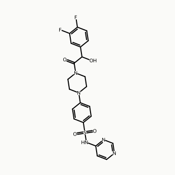 O=C(C(O)c1ccc(F)c(F)c1)N1CCN(c2ccc(S(=O)(=O)Nc3ccncn3)cc2)CC1